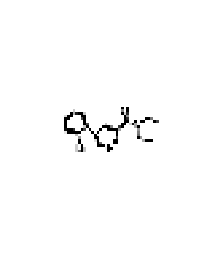 CCN(CC)C(=O)c1cncc(-c2ccccc2Br)c1